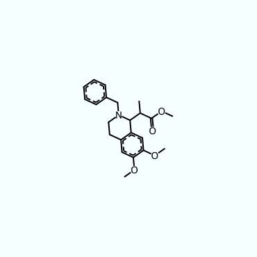 COC(=O)C(C)C1c2cc(OC)c(OC)cc2CCN1Cc1ccccc1